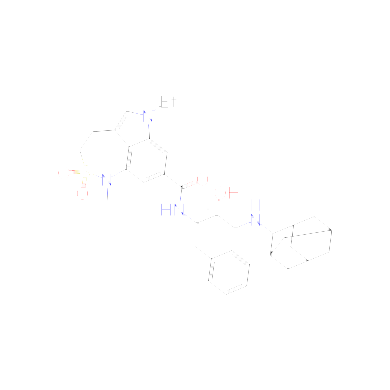 CCn1cc2c3c(cc(C(=O)N[C@@H](Cc4ccccc4)[C@H](O)CNC4C5CC6CC(C5)CC4C6)cc31)N(C)S(=O)(=O)CC2